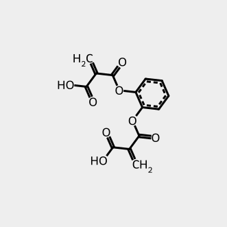 C=C(C(=O)O)C(=O)Oc1ccccc1OC(=O)C(=C)C(=O)O